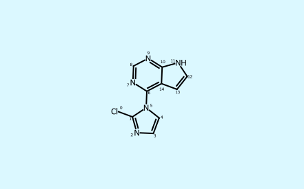 Clc1nccn1-c1ncnc2[nH]ccc12